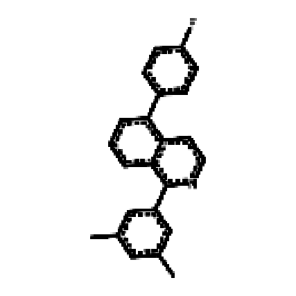 Cc1cc(C)cc(-c2nccc3c(-c4ccc(F)cc4)cccc23)c1